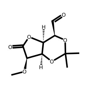 CO[C@H]1C(=O)O[C@@H]2[C@H]1OC(C)(C)O[C@@H]2C=O